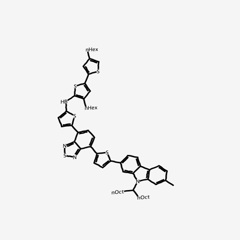 CCCCCCCCC(CCCCCCCC)n1c2cc(C)ccc2c2ccc(-c3ccc(-c4ccc(-c5ccc(Bc6sc(-c7cc(CCCCCC)cs7)cc6CCCCCC)s5)c5nsnc45)s3)cc21